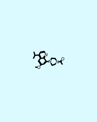 COc1cc(N2CCN(C(C)=O)CC2)c2nccc(C(C)C)c2c1